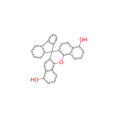 Oc1cccc2c3c(ccc12)C1(c2ccccc2-c2ccccc21)c1ccc2c(O)cccc2c1O3